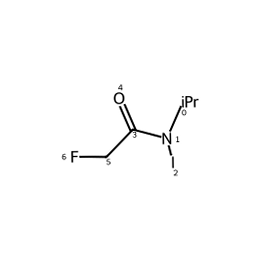 CC(C)N(I)C(=O)CF